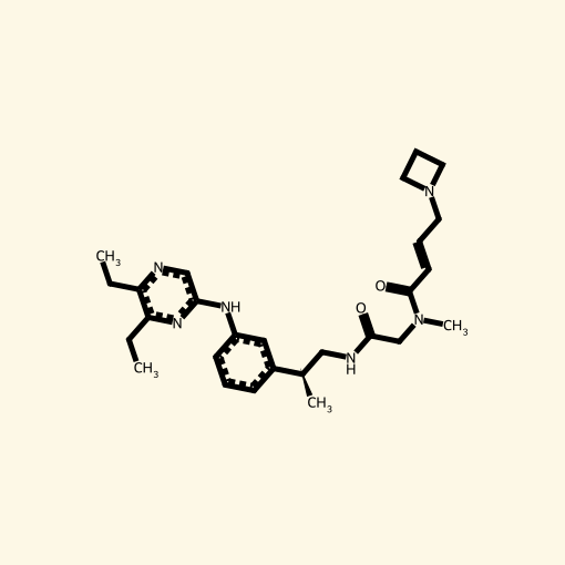 CCc1ncc(Nc2cccc([C@H](C)CNC(=O)CN(C)C(=O)/C=C/CN3CCC3)c2)nc1CC